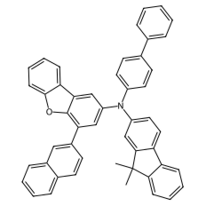 CC1(C)c2ccccc2-c2ccc(N(c3ccc(-c4ccccc4)cc3)c3cc(-c4ccc5ccccc5c4)c4oc5ccccc5c4c3)cc21